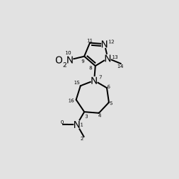 CN(C)C1CCCN(c2c([N+](=O)[O-])cnn2C)CC1